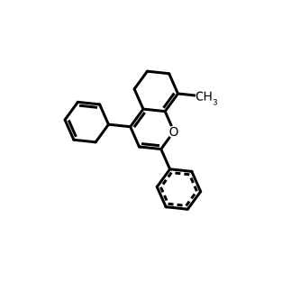 CC1=C2OC(c3ccccc3)=CC(C3C=CC=CC3)=C2CCC1